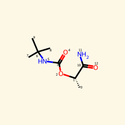 C[C@H](OC(=O)NC(C)(C)C)C(N)=O